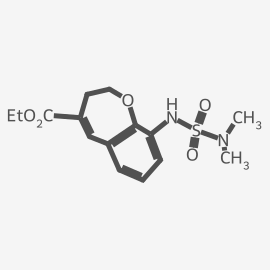 CCOC(=O)C1=Cc2cccc(NS(=O)(=O)N(C)C)c2OCC1